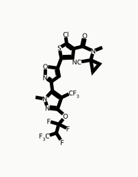 CN(C(=O)c1cc(-c2cc(-c3c(C(F)(F)F)c(OC(F)(F)C(F)C(F)(F)F)nn3C)no2)sc1Cl)C1(C#N)CC1